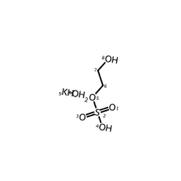 O.O=S(=O)(O)OCCO.[KH]